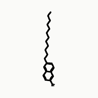 CCCCCCCCCCCCc1ccc2cc(Br)ccc2c1